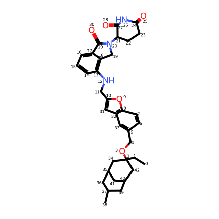 CCC1(OCc2ccc3oc(CNc4cccc5c4CN(C4CCC(=O)NC4=O)C5=O)cc3c2)CC2CC(C)CC(C2)C1